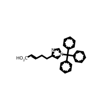 O=C(O)C=CCCc1cn(C(c2ccccc2)(c2ccccc2)c2ccccc2)cn1